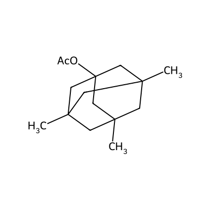 CC(=O)OC12CC3(C)CC(C)(CC(C)(C3)C1)C2